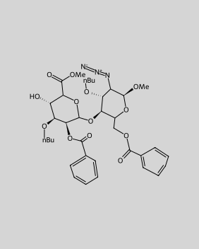 CCCCO[C@H]1[C@H](O)C(C(=O)OC)OC(O[C@@H]2C(COC(=O)c3ccccc3)O[C@H](OC)C(N=[N+]=[N-])[C@H]2OCCCC)[C@H]1OC(=O)c1ccccc1